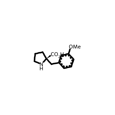 COc1cccc(C[C@@]2(C(=O)O)CCCN2)c1